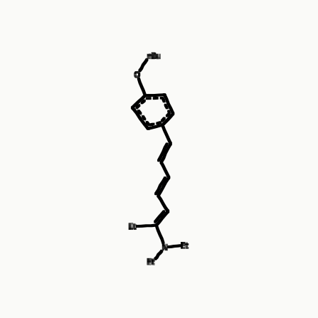 CCCCOc1ccc(/C=C/C=C/C=C(\CC)N(CC)CC)cc1